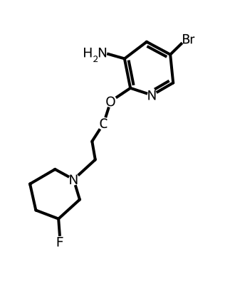 Nc1cc(Br)cnc1OCCCN1CCCC(F)C1